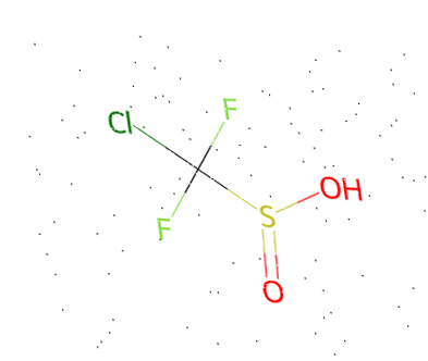 O=S(O)C(F)(F)Cl